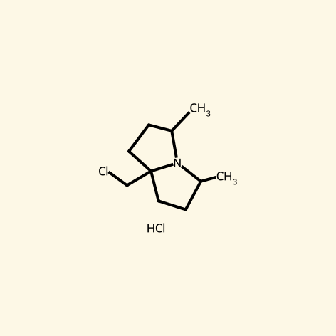 CC1CCC2(CCl)CCC(C)N12.Cl